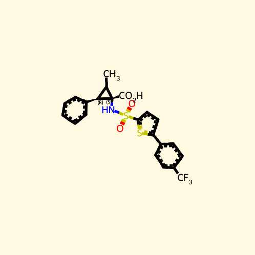 CC1[C@H](c2ccccc2)[C@]1(NS(=O)(=O)c1ccc(-c2ccc(C(F)(F)F)cc2)s1)C(=O)O